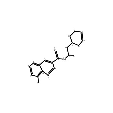 Cc1cccc2cc(C(=O)NC(C)CC3CC=CCC3)cnc12